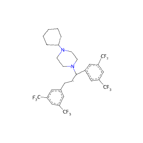 FC(F)(F)c1cc(C[CH]C(c2cc(C(F)(F)F)cc(C(F)(F)F)c2)N2CCN(C3CCCCC3)CC2)cc(C(F)(F)F)c1